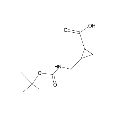 CC(C)(C)OC(=O)NCC1CC1C(=O)O